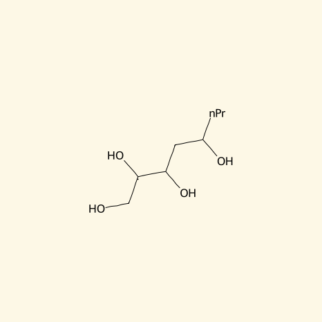 CCCC(O)CC(O)[C](O)CO